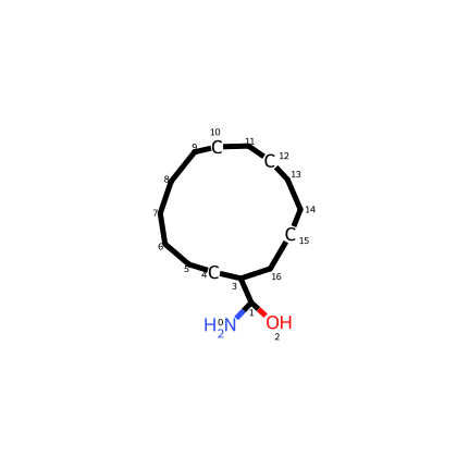 NC(O)C1CCCCCCCCCCCCC1